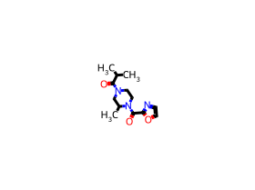 CC(C)C(=O)N1CCN(C(=O)c2ncco2)C(C)C1